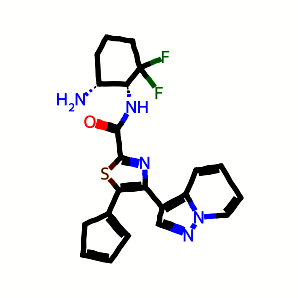 N[C@@H]1CCCC(F)(F)[C@@H]1NC(=O)c1nc(-c2cnn3ccccc23)c(C2=CC=CC2)s1